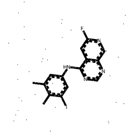 Cc1cc(Nc2ncnc3cnc(F)cc23)cc(I)c1C